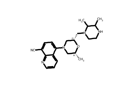 CC1NCCN(C[C@H]2CN(c3ccc(C#N)c4ncccc34)C[C@@H](C)O2)C1C